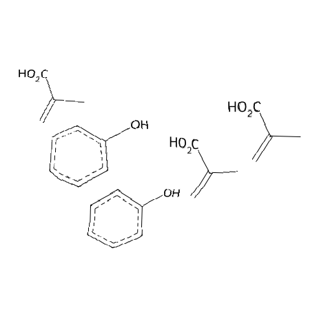 C=C(C)C(=O)O.C=C(C)C(=O)O.C=C(C)C(=O)O.Oc1ccccc1.Oc1ccccc1